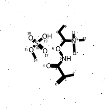 C=C(C)C(=O)NOC(CC)[N+](C)(C)C.COS(=O)(=O)O